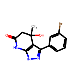 O=C1CC(O)(C(F)(F)F)c2c(-c3cccc(Br)c3)n[nH]c2N1